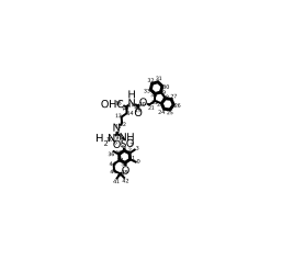 Cc1c(C)c(S(=O)(=O)NC(N)=NCCC[C@@H](C=O)NC(=O)OCC2c3ccccc3-c3ccccc32)c(C)c2c1OC(C)(C)CC2